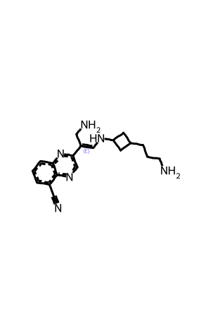 N#Cc1cccc2nc(/C(=C/NC3CC(CCCN)C3)CN)cnc12